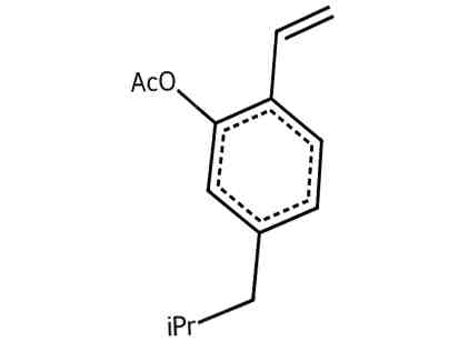 C=Cc1ccc(CC(C)C)cc1OC(C)=O